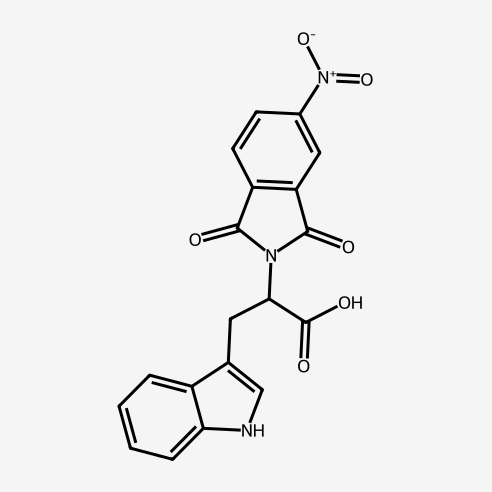 O=C(O)C(Cc1c[nH]c2ccccc12)N1C(=O)c2ccc([N+](=O)[O-])cc2C1=O